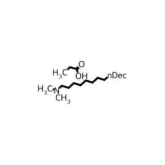 CCC(=O)O.CCCCCCCCCCCCCCCCCCN(C)C